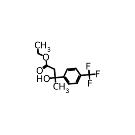 CCOC(=O)CC(C)(O)c1ccc(C(F)(F)F)cc1